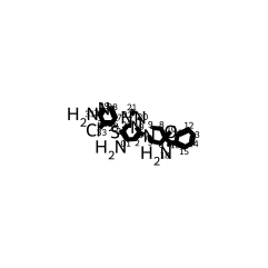 Nc1cc(N2CCC3(CC2)Oc2ccccc2C3N)n2ncnc2c1Sc1ccnc(N)c1Cl